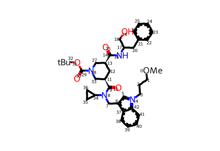 COCCCn1cc(CN(C(=O)[C@@H]2C[C@H](C(=O)NC(CO)Cc3ccccc3)CN(C(=O)OC(C)(C)C)C2)C2CC2)c2ccccc21